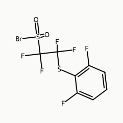 O=S(=O)(Br)C(F)(F)C(F)(F)Sc1c(F)cccc1F